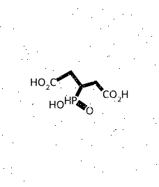 O=C(O)CC(CC(=O)O)[PH](=O)O